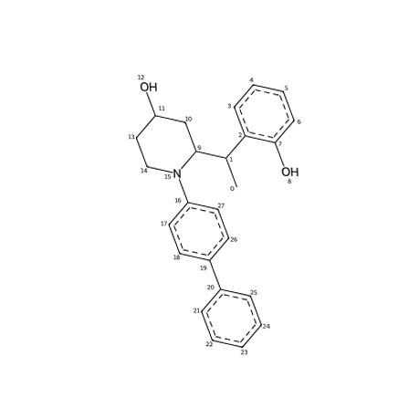 CC(c1ccccc1O)C1CC(O)CCN1c1ccc(-c2ccccc2)cc1